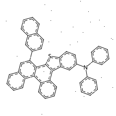 c1ccc(N(c2ccccc2)c2ccc3sc4c5c(-c6ccc7ccccc7c6)cc6ccccc6c5c5ccccc5c4c3c2)cc1